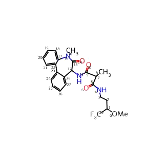 COC(CCNC(=O)C(C)C(=O)NC1C(=O)N(C)c2ccccc2-c2ccccc21)C(F)(F)F